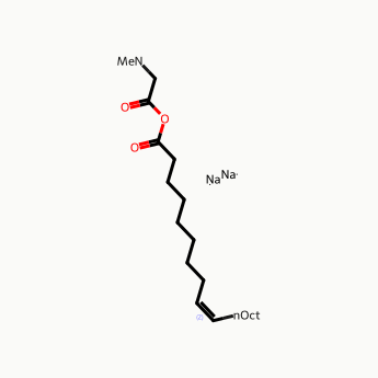 CCCCCCCC/C=C\CCCCCCCC(=O)OC(=O)CNC.[Na].[Na]